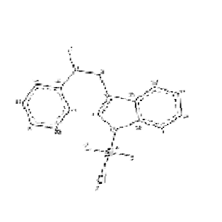 CC(CC1=CC([Si](C)(C)Cl)c2ccccc21)c1ccccc1